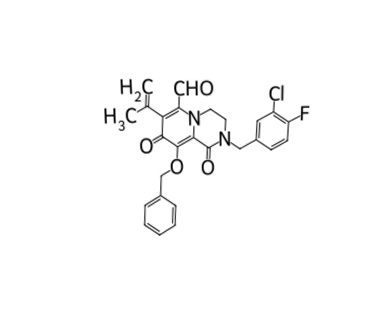 C=C(C)c1c(C=O)n2c(c(OCc3ccccc3)c1=O)C(=O)N(Cc1ccc(F)c(Cl)c1)CC2